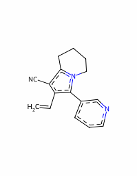 C=Cc1c(C#N)c2n(c1-c1cccnc1)CCCC2